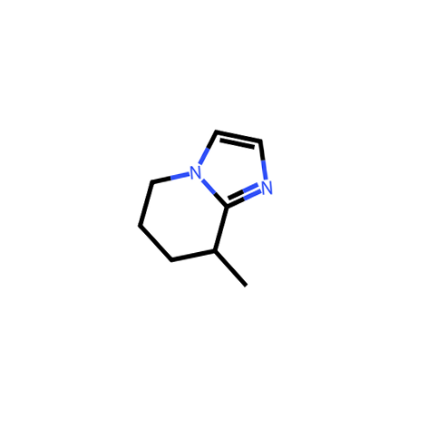 CC1CCCn2ccnc21